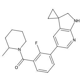 CC1CCCCN1C(=O)c1cccc(-c2cnc3c(c2)C2(CC2)CN3)c1F